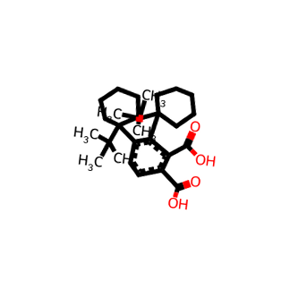 CC(C)(C)C1(c2ccc(C(=O)O)c(C(=O)O)c2C2(C(C)(C)C)CCCCC2)CCCCC1